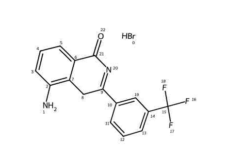 Br.Nc1cccc2c1CC(c1cccc(C(F)(F)F)c1)=NC2=O